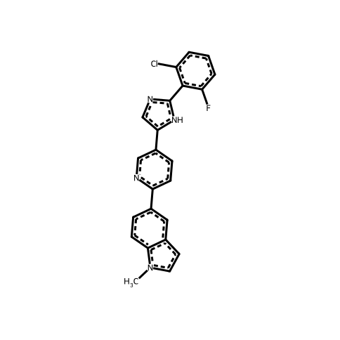 Cn1ccc2cc(-c3ccc(-c4cnc(-c5c(F)cccc5Cl)[nH]4)cn3)ccc21